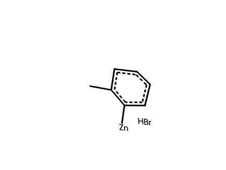 Br.Cc1cccc[c]1[Zn]